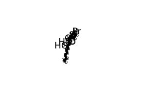 CCCCCCC[C@@H](O)CNS(=O)(=O)c1ccc(Br)s1